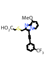 COc1cccn2c(C#Cc3cccc(C(F)(F)F)c3)c(CSCC(=O)O)nc12